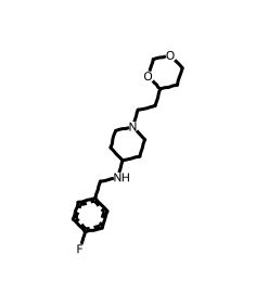 Fc1ccc(CNC2CCN(CCC3CCOCO3)CC2)cc1